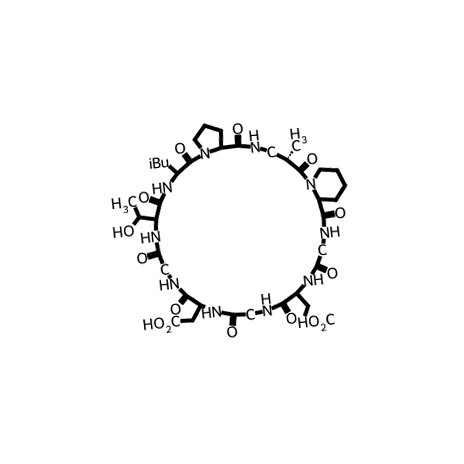 CCC(C)C1NC(=O)C(C(C)O)NC(=O)CNC(=O)C(CC(=O)O)NC(=O)CNC(=O)C(CC(=O)O)NC(=O)CNC(=O)C2CCCCN2C(=O)[C@@H](C)CNC(=O)C2CCCN2C1=O